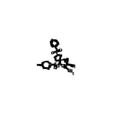 CC1CCN(C(=O)[C@@H]2C[C@@H](S(=O)(=O)c3ccccc3)C[C@@]2(C(=O)O)C2CC2(C#N)C(N)=O)CC1